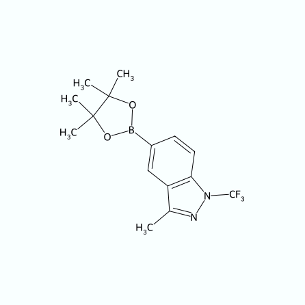 Cc1nn(C(F)(F)F)c2ccc(B3OC(C)(C)C(C)(C)O3)cc12